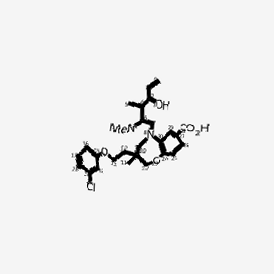 C=CC(O)C(C)C(CN1CC(C)(CCOc2cccc(Cl)c2)COc2ccc(C(=O)O)cc21)NC